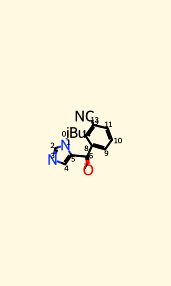 CCC(C)n1cncc1C(=O)c1cccc(C#N)c1